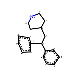 c1ccc(C(CC2CC[N]CC2)c2ccccc2)cc1